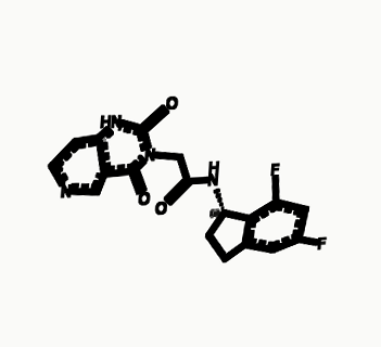 O=C(Cn1c(=O)[nH]c2ccncc2c1=O)N[C@H]1CCc2cc(F)cc(F)c21